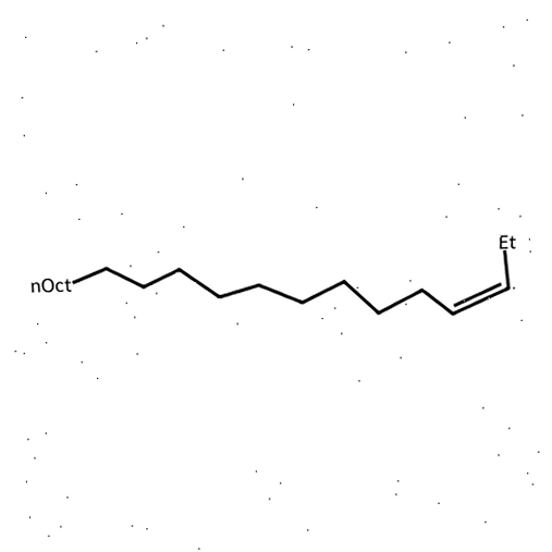 CC/[C]=C\CCCCCCCCCCCCCCCCC